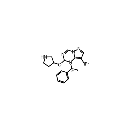 CC(C)c1cnn2c1N([C@@H](C)c1ccccc1)C(OC1CCNC1)N=C2